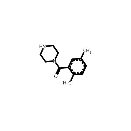 Cc1ccc(C)c(C(=O)N2CCNCC2)c1